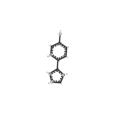 [O]c1ccc(-c2ncon2)nc1